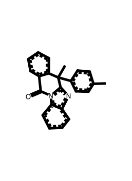 Cc1ccc(C2(C)c3ccccc3C(=O)n3c2nc2ccccc23)cc1